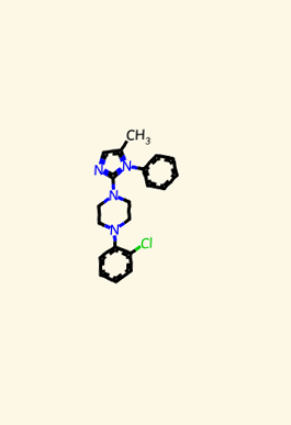 Cc1cnc(N2CCN(c3ccccc3Cl)CC2)n1-c1ccccc1